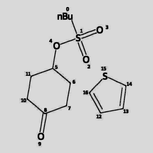 CCCCS(=O)(=O)OC1CCC(=O)CC1.c1ccsc1